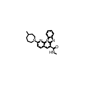 CNC(=O)c1cc2ccc(N3CCCC(C)CC3)nc2n2c1nc1ccccc12